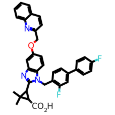 CC1(C)C(C(=O)O)C1c1nc2cc(OCc3ccc4ccccc4n3)ccc2n1Cc1ccc(-c2ccc(F)cc2)cc1F